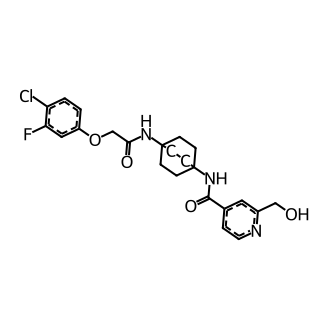 O=C(COc1ccc(Cl)c(F)c1)NC12CCC(NC(=O)c3ccnc(CO)c3)(CC1)CC2